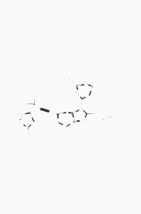 Cc1cc(C(C)(O)C#Cc2ccc3nc(OCCO)n(-c4ccnc(N)n4)c3c2)no1